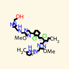 C=C/C=C(\C(Cl)=C\c1cccc(-c2cnc(CNCc3cnn(CCO)c3)c(OC)n2)c1Cl)c1cnc(CNC[C@@H]2CCC(=C)N2)c(OC)n1